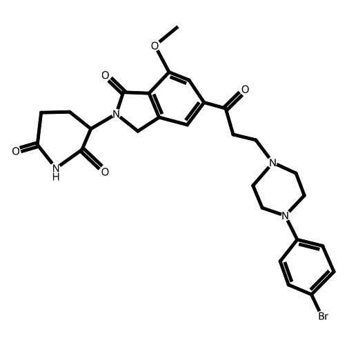 COc1cc(C(=O)CCN2CCN(c3ccc(Br)cc3)CC2)cc2c1C(=O)N(C1CCC(=O)NC1=O)C2